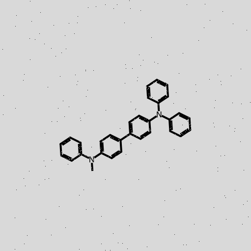 CN(c1ccccc1)c1ccc(-c2ccc(N(c3ccccc3)c3ccccc3)cc2)cc1